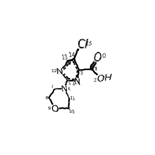 O=C(O)c1nc(N2CCOCC2)ncc1Cl